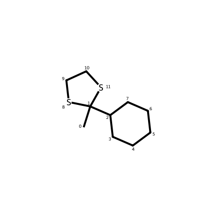 CC1(C2CCCCC2)SCCS1